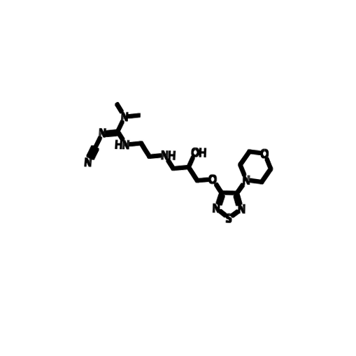 CN(C)/C(=N/C#N)NCCNCC(O)COc1nsnc1N1CCOCC1